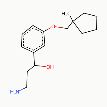 CC1(COc2cccc(C(O)CCN)c2)CCCC1